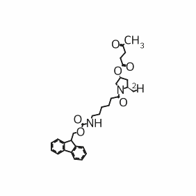 [2H]C[C@@H]1C[C@@H](OC(=O)CCC(C)=O)CN1C(=O)CCCCCNC(=O)OCC1c2ccccc2-c2ccccc21